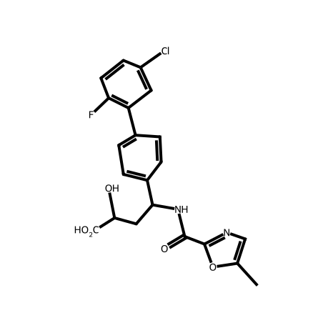 Cc1cnc(C(=O)NC(CC(O)C(=O)O)c2ccc(-c3cc(Cl)ccc3F)cc2)o1